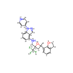 CC1(c2cccc3c2OCC3)CC(CNc2cccc3c2cnn3-c2ccncc2)(C(F)(F)F)O1